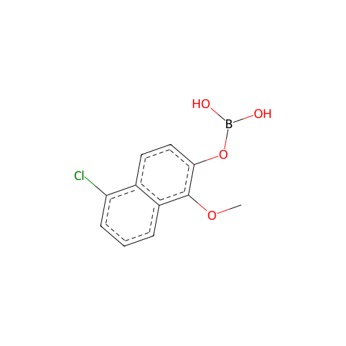 COc1c(OB(O)O)ccc2c(Cl)cccc12